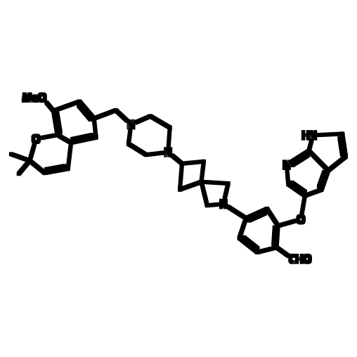 COc1cc(CN2CCN(C3CC4(C3)CN(c3ccc(C=O)c(Oc5cnc6[nH]ccc6c5)c3)C4)CC2)cc2c1OC(C)(C)C=C2